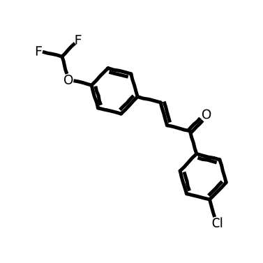 O=C(C=Cc1ccc(OC(F)F)cc1)c1ccc(Cl)cc1